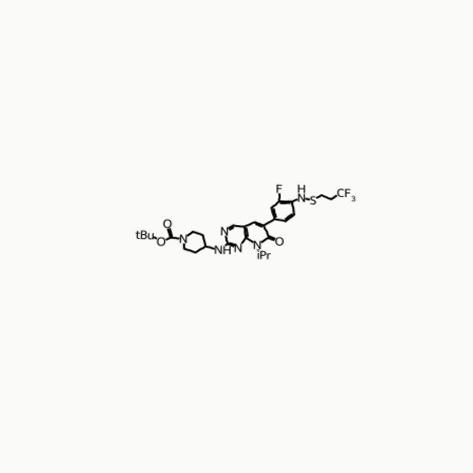 CC(C)n1c(=O)c(-c2ccc(NSCCC(F)(F)F)c(F)c2)cc2cnc(NC3CCN(C(=O)OC(C)(C)C)CC3)nc21